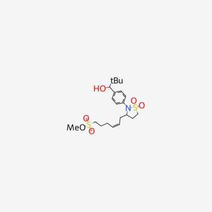 COS(=O)(=O)CCC/C=C\CC1CCS(=O)(=O)N1c1ccc(C(O)C(C)(C)C)cc1